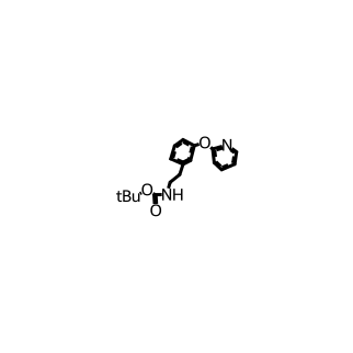 CC(C)(C)OC(=O)NCCc1cccc(Oc2ccccn2)c1